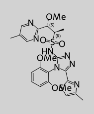 COc1cccc(OC)c1-n1c(NS(=O)(=O)[C@H](C)[C@@H](OC)c2ncc(C)cn2)nnc1-c1nc(C)cs1